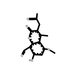 COc1cc(O)c(C=O)c2oc(=O)c(CC(C)=O)c(C)c12